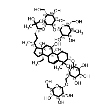 CC[C@@]12CCC([C@H](C)CC[C@@H](O[C@@H]3O[C@H](CO)[C@@H](O)[C@H](O)[C@H]3O[C@@H]3O[C@H](CO)[C@@H](C)[C@H](O)[C@H]3O)C(C)(C)O)[C@@]1(C)C[C@@H](O)[C@@]1(C)C3CC[C@H](O[C@@H]4O[C@H](CO[C@H]5O[C@H](CO)[C@@H](O)[C@H](O)[C@H]5O)[C@@H](O)[C@H](O)[C@H]4O)C(C)(C)C3=CCC12